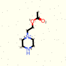 CC(=O)OCC[N+]1CCNCC1